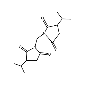 CC(C)C1CC(=O)N(CN2C(=O)CC(C(C)C)C2=O)C1=O